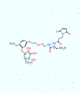 CC(=O)OCc1ccc(OCCOCCNC(=O)[C@H](CS(=O)(=O)O)NC(=O)CCN2C(=O)C=CC2=O)cc1O[C@@H]1C[C@H](C(=O)O)[C@@H](O)[C@H](O)[C@H]1O